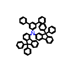 c1ccc(-c2cc(-c3ccccc3)cc(N(c3ccc4c(c3)C(c3ccccc3)(c3ccccc3)c3ccccc3-4)c3cccc4c3-c3ccccc3C4(c3ccccc3)c3ccccc3)c2)cc1